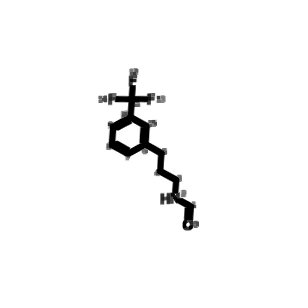 O=CNCCCc1cccc(C(F)(F)F)c1